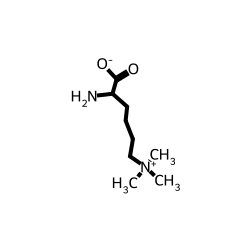 C[N+](C)(C)CCCCC(N)C(=O)[O-]